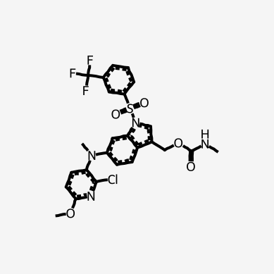 CNC(=O)OCc1cn(S(=O)(=O)c2cccc(C(F)(F)F)c2)c2cc(N(C)c3ccc(OC)nc3Cl)ccc12